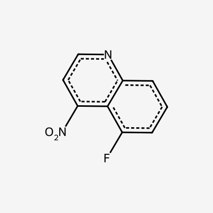 O=[N+]([O-])c1ccnc2cccc(F)c12